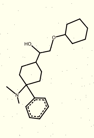 CN(C)C1(c2ccccc2)CCC(C(O)COC2CCCCC2)CC1